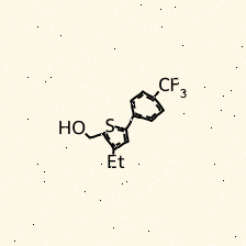 CCc1cc(-c2ccc(C(F)(F)F)cc2)sc1CO